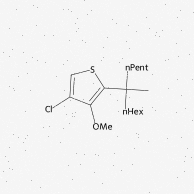 CCCCCCC(C)(CCCCC)c1scc(Cl)c1OC